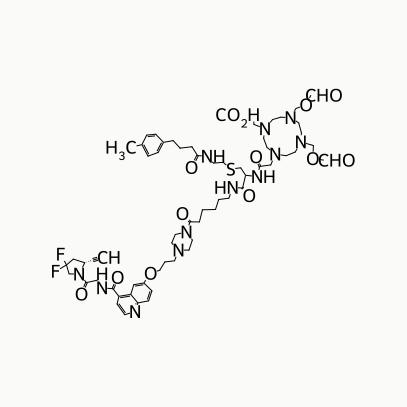 C#C[C@H]1CC(F)(F)CN1C(=O)CNC(=O)c1ccnc2ccc(OCCCN3CCN(C(=O)CCCCCNC(=O)C(CSCCNC(=O)CCCc4ccc(C)cc4)NC(=O)CN4CCN(COC=O)CCN(COC=O)CCN(CC(=O)O)CC4)CC3)cc12